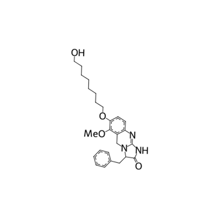 COc1c(OCCCCCCCCO)ccc2c1CN1C(=N2)NC(=O)C1Cc1ccccc1